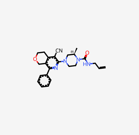 C=CCNC(=O)N1CCN(c2nc(-c3ccccc3)c3c(c2C#N)CCOC3)C[C@H]1C